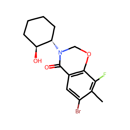 Cc1c(Br)cc2c(c1F)OCN([C@H]1CCCC[C@@H]1O)C2=O